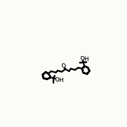 CC(C)(O)c1ccccc1CCCCC(=O)CCCCc1ccccc1C(C)(C)O